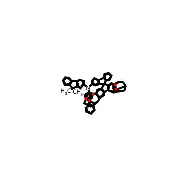 CC1(C)c2ccccc2-c2ccc(N(c3ccc(-c4ccccc4)cc3)c3ccc4c(c3)C3(c5ccccc5-4)c4cc5c(cc4-c4cc6c(cc43)C3CC4CC7CC6CC74C3)C3CC4CC(C3)CC5C4)cc21